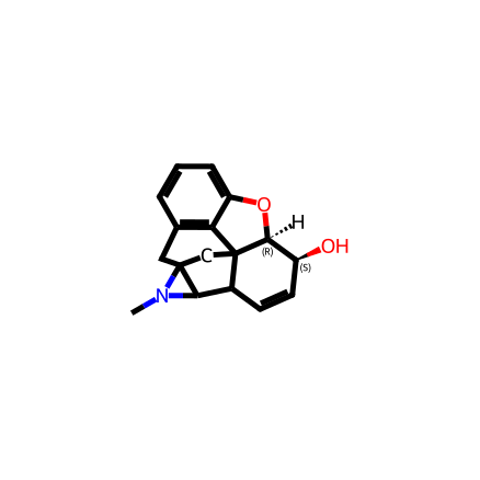 CN1C2C3C=C[C@H](O)[C@@H]4Oc5cccc6c5C34CC21C6